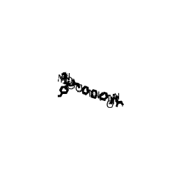 CCc1ccc(C2(Cn3nccn3)OCC(COc3ccc(N4CCN(c5ccc(-n6cnn(C(C)CC)c6=O)cc5)CC4)cc3)O2)cc1